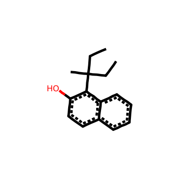 CCC(C)(CC)c1c(O)ccc2ccccc12